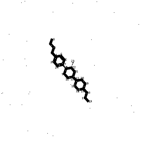 CCCCc1ccc([C@@H]2CCC(C3CCC(CCC)CC3)C[C@H]2C)cc1